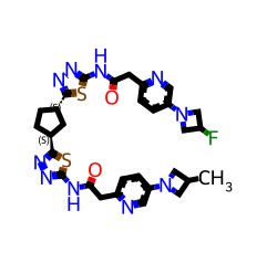 CC1CN(c2ccc(CC(=O)Nc3nnc([C@H]4CC[C@H](c5nnc(NC(=O)Cc6ccc(N7CC(F)C7)cn6)s5)C4)s3)nc2)C1